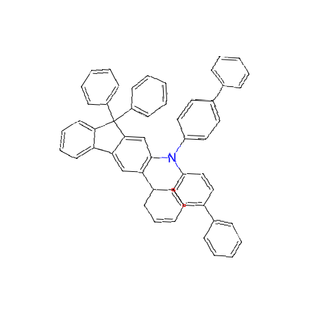 C1=CCC(c2cc3c(cc2N(c2ccc(-c4ccccc4)cc2)c2ccc(-c4ccccc4)cc2)C(c2ccccc2)(c2ccccc2)c2ccccc2-3)C=C1